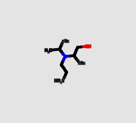 CCCCC(C)N(CCS(=O)(=O)O)C(CO)CCCC